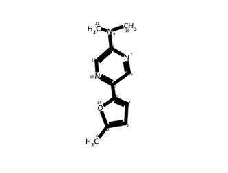 Cc1ccc(-c2cnc(N(C)C)cn2)o1